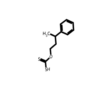 CC(CCOC(=S)S)c1ccccc1